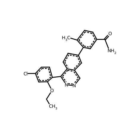 CCOc1cc(Cl)ccc1-c1nncc2cc(-c3cc(C(N)=O)ccc3C)ccc12